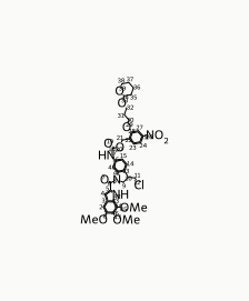 COc1cc2cc(C(=O)N3CC(CCl)c4ccc(NC(=O)OCc5ccc([N+](=O)[O-])cc5OCCCOC5CCCCO5)cc43)[nH]c2c(OC)c1OC